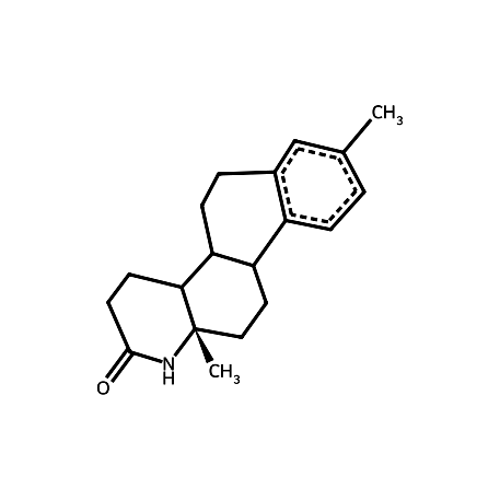 Cc1ccc2c(c1)CCC1C2CC[C@]2(C)NC(=O)CCC12